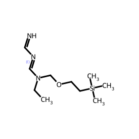 CCN(/C=N/C=N)COCC[Si](C)(C)C